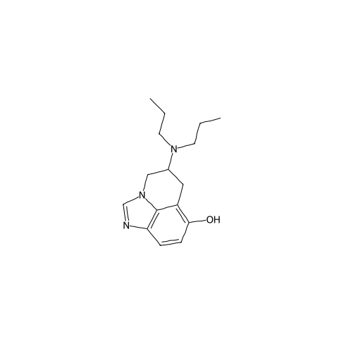 CCCN(CCC)C1Cc2c(O)ccc3ncn(c23)C1